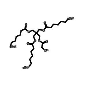 CCCCCCCCCCCCCCCC(=O)OCC(COC(=O)CO)(COC(=O)CCCCCCCCCCCCCCC)COC(=O)CCCCCCCCCCCCCCC